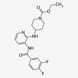 CCOC(=O)N1CCC(Nc2ncccc2NC(=O)c2ccc(F)c(F)c2)CC1